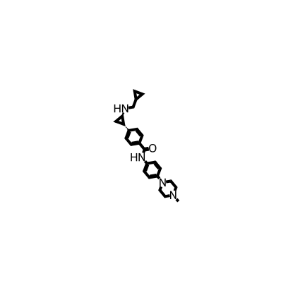 CN1CCN(c2ccc(NC(=O)c3ccc([C@@H]4C[C@H]4NCC4CC4)cc3)cc2)CC1